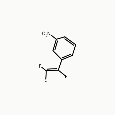 O=[N+]([O-])c1cccc(C(F)=C(F)F)c1